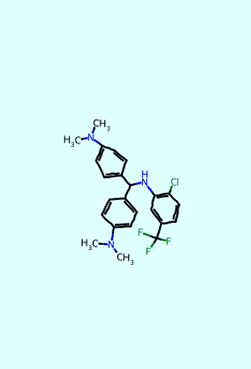 CN(C)c1ccc(C(Nc2cc(C(F)(F)F)ccc2Cl)c2ccc(N(C)C)cc2)cc1